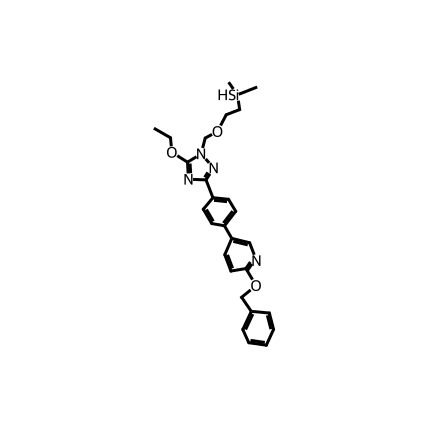 CCOc1nc(-c2ccc(-c3ccc(OCc4ccccc4)nc3)cc2)nn1COCC[SiH](C)C